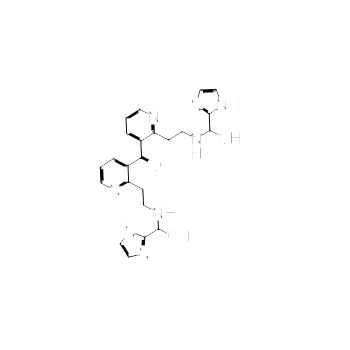 CC(NCCc1ncccc1C(=O)c1cccnc1CCNC(C)c1ncc[nH]1)c1ncc[nH]1